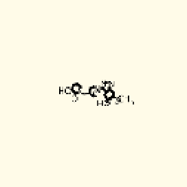 COc1cc2ncnc(N3CCC(Cn4cccc(O)c4=O)CC3)c2cc1O